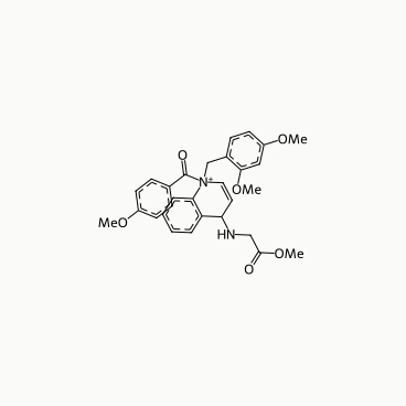 COC(=O)CNC1C=C[N+](Cc2ccc(OC)cc2OC)(C(=O)c2ccc(OC)cc2)c2ccccc21